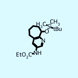 CCOC(=O)Nc1cnc2c(c1)CCCCC2O[Si](C)(C)C(C)(C)C